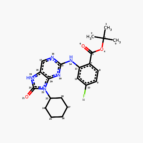 CC(C)(C)OC(=O)c1ccc(F)cc1Nc1ncc2[nH]c(=O)n(C3CC[CH]CC3)c2n1